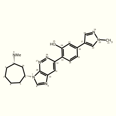 CN[C@H]1CCCC[C@@H](n2cnc3cc(-c4ccc(-c5cnn(C)c5)cc4O)nnc32)C1